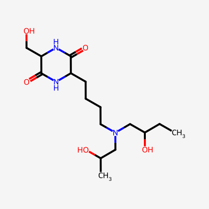 CCC(O)CN(CCCCC1NC(=O)C(CO)NC1=O)CC(C)O